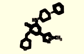 Cn1cc(-c2cc(N[C@H]3CC[C@@H](c4ccccc4)CC3)c(=O)n(CC3CCOCC3)c2)cn1